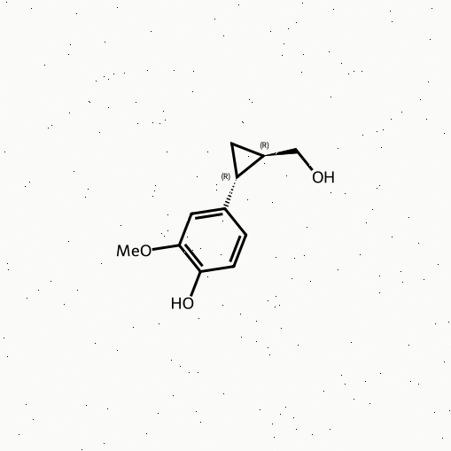 COc1cc([C@@H]2C[C@H]2CO)ccc1O